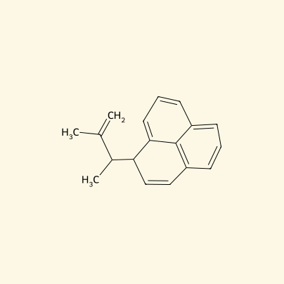 C=C(C)C(C)C1C=Cc2cccc3cccc1c23